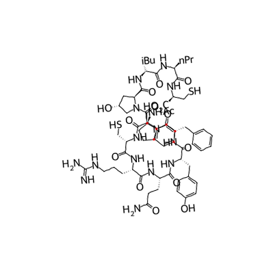 CCC[C@H](NC(=O)[C@@H](NC(=O)[C@@H]1C[C@@H](O)CN1C(=O)[C@@H]1CCCN1C(=O)[C@H](Cc1ccccc1)NC(=O)[C@H](Cc1ccc(O)cc1)NC(=O)[C@H](CCC(N)=O)NC(=O)[C@H](CCCNC(=N)N)NC(=O)[C@H](CS)NC(=O)[C@@H](NC(C)=O)c1ccccc1)[C@@H](C)CC)C(=O)N[C@@H](CS)C(=O)O